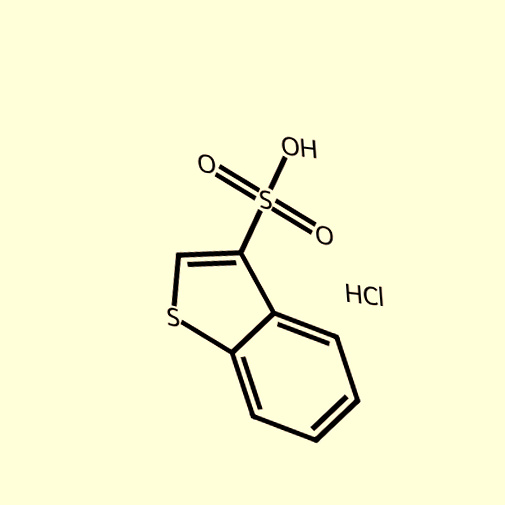 Cl.O=S(=O)(O)c1csc2ccccc12